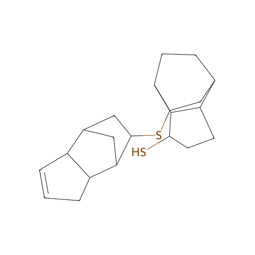 SC1CCC2C3CCC(C(SC4CC5CC4C4CC=CC54)C3)C12